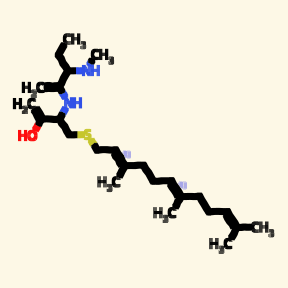 C=C(O)C(CSC/C=C(\C)CC/C=C(\C)CCC=C(C)C)NC(=C)C(CC)NC